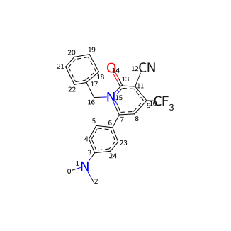 CN(C)c1ccc(-c2cc(C(F)(F)F)c(C#N)c(=O)n2Cc2ccccc2)cc1